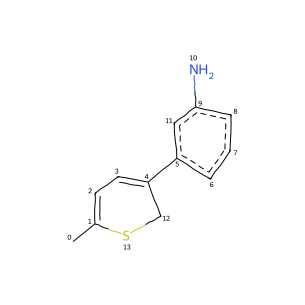 CC1=CC=C(c2cccc(N)c2)CS1